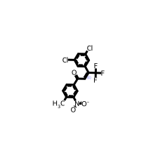 Cc1ccc(C(=O)/C=C(\c2cc(Cl)cc(Cl)c2)C(F)(F)F)cc1[N+](=O)[O-]